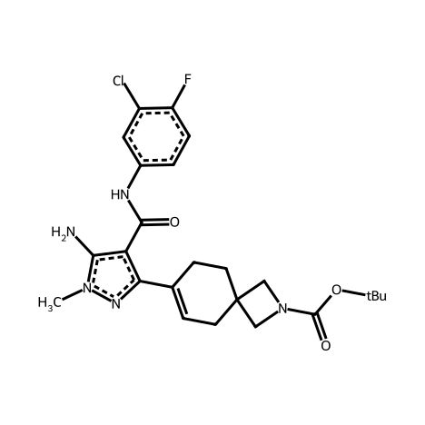 Cn1nc(C2=CCC3(CC2)CN(C(=O)OC(C)(C)C)C3)c(C(=O)Nc2ccc(F)c(Cl)c2)c1N